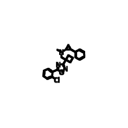 CN(CC1(c2noc(-c3ccccc3Cl)n2)CCC1)[C@H]1CC1c1ccccc1